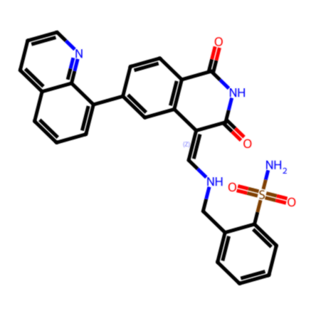 NS(=O)(=O)c1ccccc1CN/C=C1\C(=O)NC(=O)c2ccc(-c3cccc4cccnc34)cc21